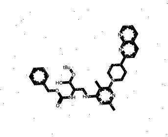 Cc1nc(NCC(NC(=O)OCc2ccccc2)C(O)OC(C)(C)C)c(C)c(N2CCC(c3ccc4cccnc4n3)CC2)n1